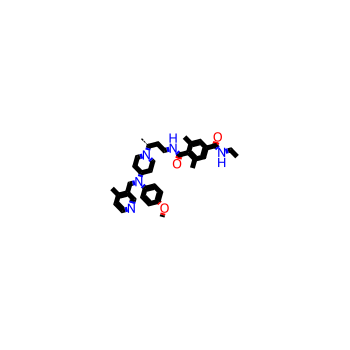 CCNC(=O)c1cc(C)c(C(=O)NCC[C@@H](C)N2CCC(N(Cc3cnccc3C)c3ccc(OC)cc3)CC2)c(C)c1